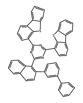 c1ccc(-c2cccc(-c3ccc4ccccc4c3-c3nc(-c4cccc5c4sc4ccccc45)nc(-c4cccc5c4sc4ccccc45)n3)c2)cc1